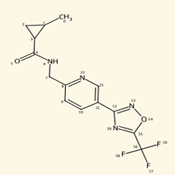 CC1CC1C(=O)NCc1ccc(-c2noc(C(F)(F)F)n2)cn1